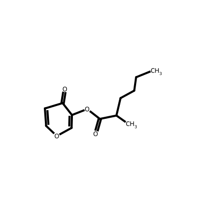 CCCCC(C)C(=O)Oc1coccc1=O